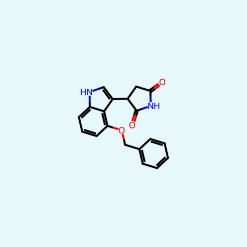 O=C1CC(c2c[nH]c3cccc(OCc4ccccc4)c23)C(=O)N1